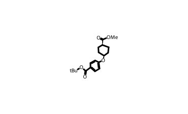 COC(=O)[C@H]1CC[C@@H](Oc2ccc(C(=O)OC(C)(C)C)cc2)CC1